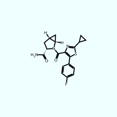 NC(=O)[C@@H]1C[C@@H]2C[C@@H]2N1C(=O)c1nc(C2CC2)sc1-c1ccc(F)cc1